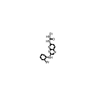 CCNC(=O)Nc1ccc2ncc(Nc3ccccc3C(C)C)nc2n1